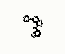 c1cc(Nc2ncnc3cnc(N4CCOCC4)nc23)c2nsnc2c1